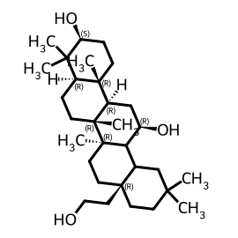 CC1(C)CC[C@]2(CCO)CC[C@]3(C)C(C2C1)[C@H](O)C[C@@H]1[C@@]2(C)CC[C@H](O)C(C)(C)[C@@H]2CC[C@]13C